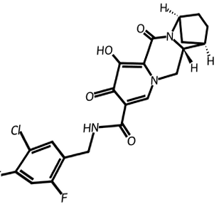 O=C(NCc1cc(Cl)c(F)cc1F)c1cn2c(c(O)c1=O)C(=O)N1[C@H]3CC[C@H](C3)[C@@H]1C2